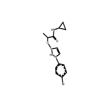 CC(ON1C=CN(c2ccc(Br)cc2)N1)C(=O)NC1CC1